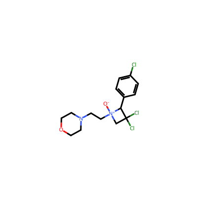 [O-][N+]1(CCN2CCOCC2)CC(Cl)(Cl)C1c1ccc(Cl)cc1